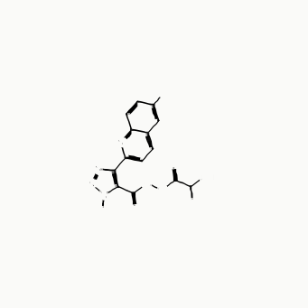 CC(C)C(=O)OOC(=O)c1c(-c2ccc3cc(Cl)ccc3n2)nnn1C